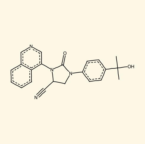 CC(C)(O)c1ccc(N2CC(C#N)N(c3cncc4ccccc34)C2=O)cc1